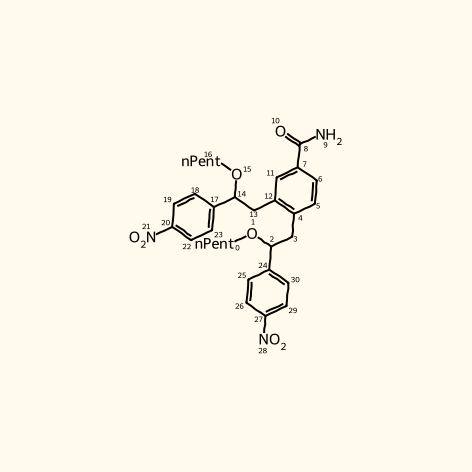 CCCCCOC(Cc1ccc(C(N)=O)cc1CC(OCCCCC)c1ccc([N+](=O)[O-])cc1)c1ccc([N+](=O)[O-])cc1